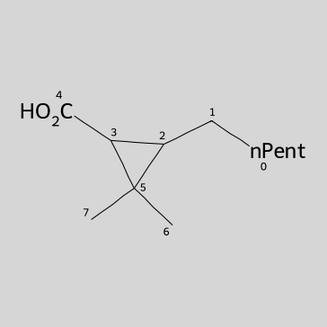 CCCCCCC1C(C(=O)O)C1(C)C